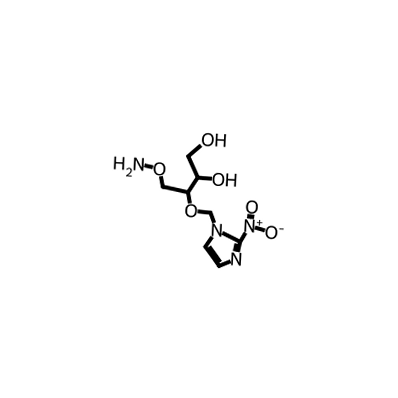 NOCC(OCn1ccnc1[N+](=O)[O-])C(O)CO